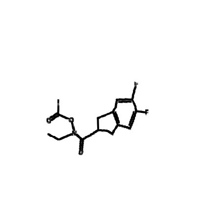 CCN(OC(C)=O)C(=O)C1Cc2cc(F)c(F)cc2C1